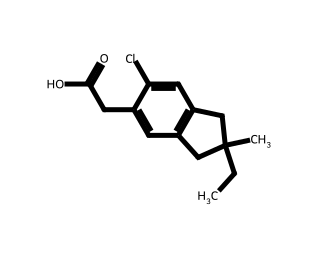 CCC1(C)Cc2cc(Cl)c(CC(=O)O)cc2C1